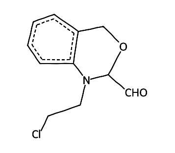 O=CC1OCc2ccccc2N1CCCl